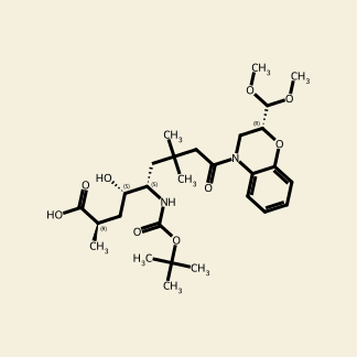 COC(OC)[C@H]1CN(C(=O)CC(C)(C)C[C@H](NC(=O)OC(C)(C)C)[C@@H](O)C[C@@H](C)C(=O)O)c2ccccc2O1